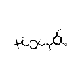 COc1cc(Cl)cc(C(=O)NCC2(F)CCN(CC(=O)C(C)(C)C)CC2)c1